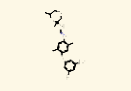 Cc1cc(Oc2cc(F)cc(Br)c2)c(C)cc1/N=C/NC1(C)CNCC(C)O1